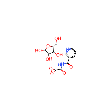 O=C(NC(=O)C1OO1)c1cccnc1.OC[C@H]1OC(O)[C@H](O)[C@@H]1O